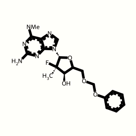 CNc1nc(N)nc2c1ncn2[C@@H]1OC(COCOc2ccccc2)[C@@H](O)[C@@]1(C)F